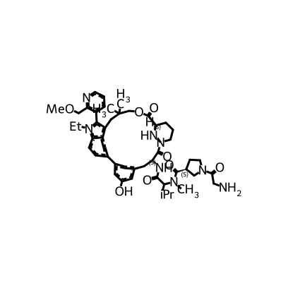 CCn1c(-c2cccnc2COC)c2c3cc(ccc31)-c1cc(O)cc(c1)C[C@H](NC(=O)C(C(C)C)N(C)C(=O)[C@H]1CCN(C(=O)CN)C1)C(=O)N1CCC[C@H](N1)C(=O)OCC(C)(C)C2